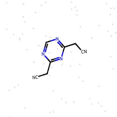 N#CCc1ncnc(CC#N)n1